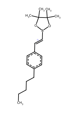 CCCCCc1ccc(/C=C/B2OC(C)(C)C(C)(C)O2)cc1